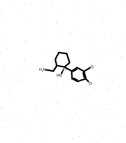 NCC1CCCC[C@]1(O)c1ccc(Cl)c(Cl)c1